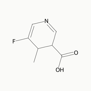 CC1C(F)=CN=CC1C(=O)O